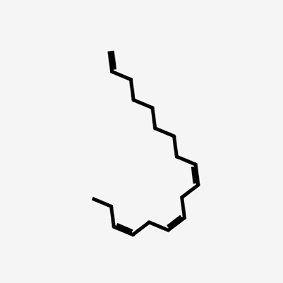 C=CCCCCCC/C=C\C/C=C\C/C=C\CC